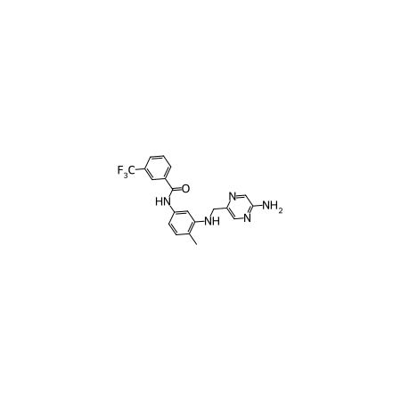 Cc1ccc(NC(=O)c2cccc(C(F)(F)F)c2)cc1NCc1cnc(N)cn1